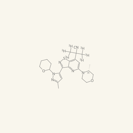 [2H]C([2H])([2H])C(C#N)(c1cc(N2CCOC[C@H]2C)nc2c(-c3cc(C)nn3C3CCCCO3)nsc12)C([2H])([2H])[2H]